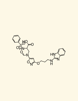 O=CN(CC(NS(=O)(=O)c1ccccc1)C(=O)O)c1cc(OCCCNc2nc3ccccc3[nH]2)no1